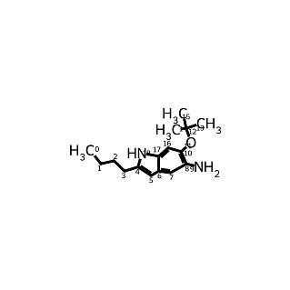 CCCCc1cc2cc(N)c(OC(C)(C)C)cc2[nH]1